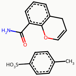 Cc1ccc(S(=O)(=O)O)cc1.NC(=O)c1cccc2c1OC=CC2